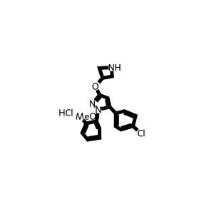 COc1ccccc1-n1nc(OC2CNC2)cc1-c1ccc(Cl)cc1.Cl